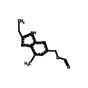 CCc1nc2c(C)cc(COC=O)cc2[nH]1